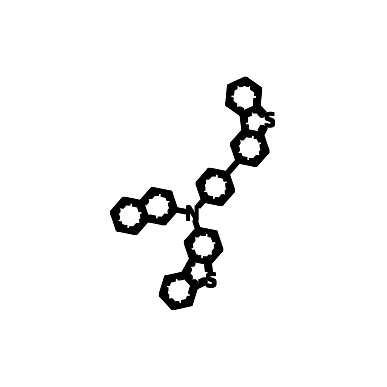 c1ccc2cc(N(c3ccc(-c4ccc5sc6ccccc6c5c4)cc3)c3ccc4sc5ccccc5c4c3)ccc2c1